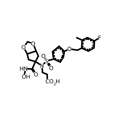 Cc1cc(F)ccc1COc1ccc(S(=O)(=O)N(CCC(=O)O)C2(C(=O)NO)CC3OCOC3C2)cc1